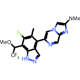 CNc1cn2cc(-c3c(C)c(F)c(C(OC)C(F)(F)F)c4[nH]ncc34)ncc2n1